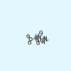 CCn1ncc2c(NC3CCOCC3)c(C(=O)NCCc3cc(OC)cc(OC)c3)cnc21